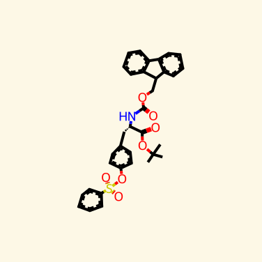 CC(C)(C)OC(=O)[C@H](Cc1ccc(OS(=O)(=O)c2ccccc2)cc1)NC(=O)OCC1c2ccccc2-c2ccccc21